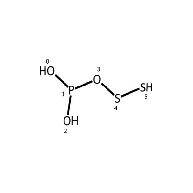 OP(O)OSS